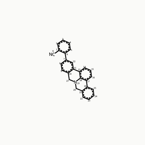 N#Cc1ccccc1-c1ccc2c(c1)-c1cccc3c1N(Cc1ccccc1-3)C2